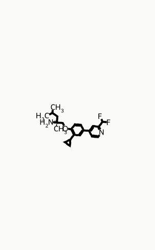 CC(C)C[C@](C)(N)COc1ccc(-c2ccnc(C(F)F)c2)cc1C1CC1